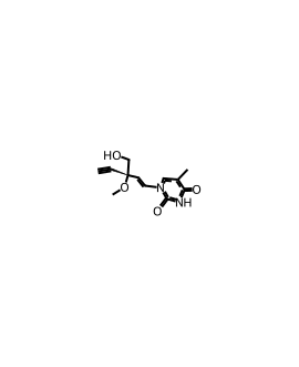 C#C[C@](C=Cn1cc(C)c(=O)[nH]c1=O)(CO)OC